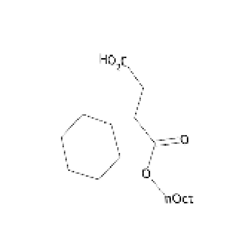 C1CCCCC1.CCCCCCCCOC(=O)CCC(=O)O